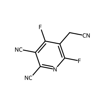 N#CCc1c(F)nc(C#N)c(C#N)c1F